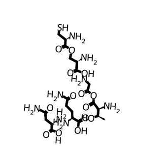 C[C@@H](O)[C@H](N)C(=O)OC(=O)CN.NC(=O)CC[C@H](N)C(=O)O.NC(=O)C[C@H](N)C(=O)O.N[C@@H](COC(=O)[C@@H](N)CS)C(=O)O